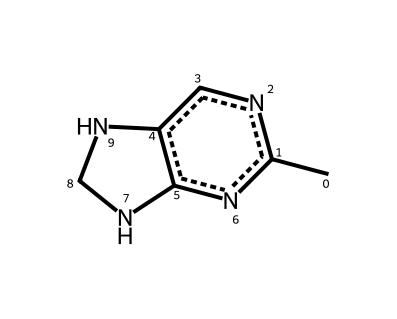 Cc1ncc2c(n1)NCN2